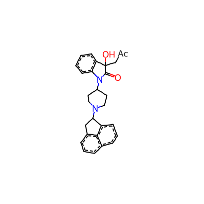 CC(=O)CC1(O)C(=O)N(C2CCN(C3Cc4cccc5cccc3c45)CC2)c2ccccc21